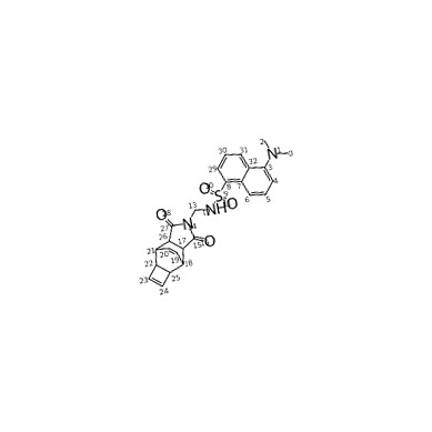 CN(C)c1cccc2c(S(=O)(=O)NCN3C(=O)C4C5C=CC(C6C=CC65)C4C3=O)cccc12